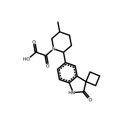 CC1CCC(c2ccc3c(c2)C2(CCC2)C(=O)N3)N(C(=O)C(=O)O)C1